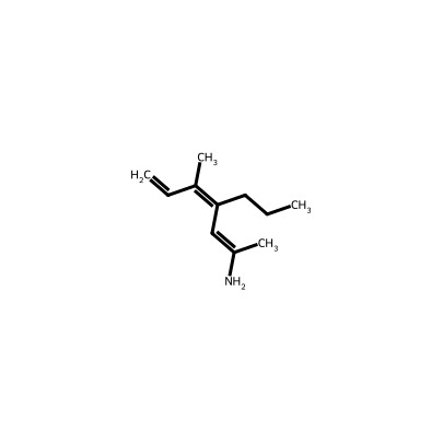 C=C/C(C)=C(\C=C(/C)N)CCC